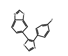 Fc1ccc(-c2ncsc2-c2ccc3ncsc3c2)cc1